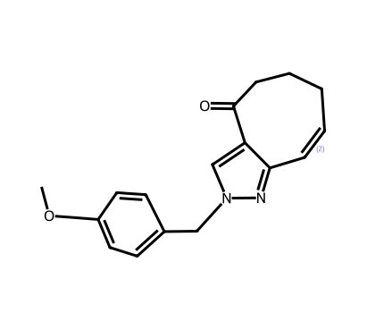 COc1ccc(Cn2cc3c(n2)/C=C\CCCC3=O)cc1